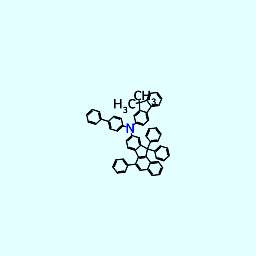 CC1(C)c2ccccc2-c2ccc(N(c3ccc(-c4ccccc4)cc3)c3ccc4c(c3)C(c3ccccc3)(c3ccccc3)c3c-4c(-c4ccccc4)cc4ccccc34)cc21